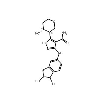 CCC1B(O)Oc2cc(Nc3n[nH]c([C@@H]4COCC[C@H]4C#N)c3C(N)=O)ccc21